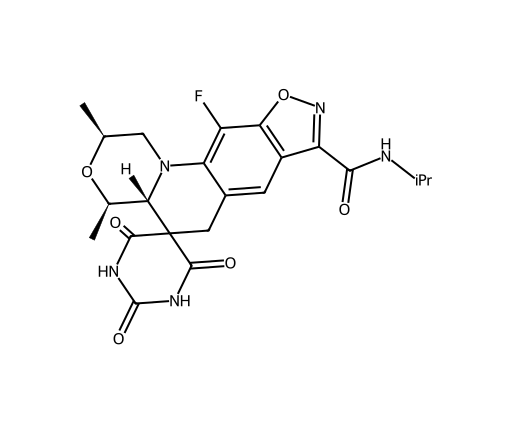 CC(C)NC(=O)c1noc2c(F)c3c(cc12)CC1(C(=O)NC(=O)NC1=O)[C@@H]1[C@@H](C)O[C@@H](C)CN31